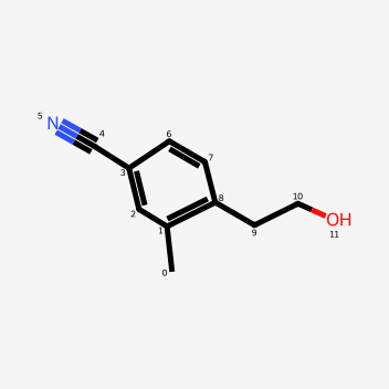 Cc1cc(C#N)ccc1CCO